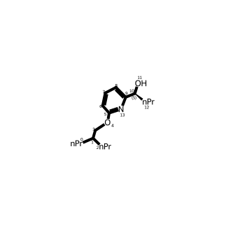 CCCC(CCC)COc1cccc([C@@H](O)CCC)n1